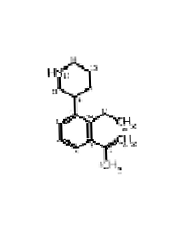 C=C(C)c1cccc(C2CCCNC2)c1CC